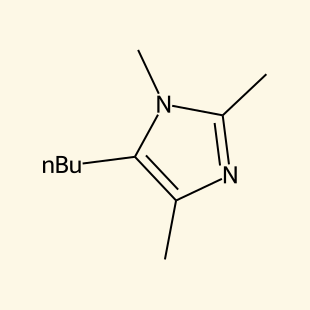 CCCCc1c(C)nc(C)n1C